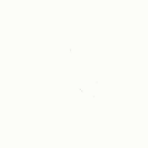 CC(O)c1ccc(-c2cccn(C(C)C)c2=O)s1